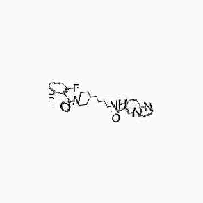 O=C(NCCCCC1CCN(C(=O)c2c(F)cccc2F)CC1)c1ccc2nccn2c1